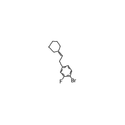 Fc1cc(CC=C2CCCCC2)ccc1Br